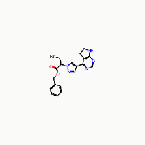 N#CCC(C(=O)OCc1ccccc1)n1cc(-c2ncnc3c2CCN3)cn1